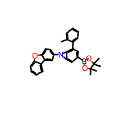 Cc1ccccc1-c1cc(B2OC(C)(C)C(C)(C)O2)cc2c1N2c1ccc2oc3ccccc3c2c1